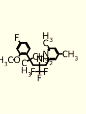 COc1cc(F)ccc1C(C)(C)CC(N)(Cc1cc(C)cc(C)n1)C(F)(F)F